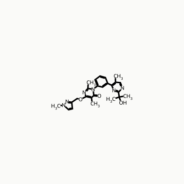 Cc1cnc(C(C)(C)O)nc1-c1cccc(-n2c(C)nc(OCc3ccn(C)n3)c(C)c2=O)c1